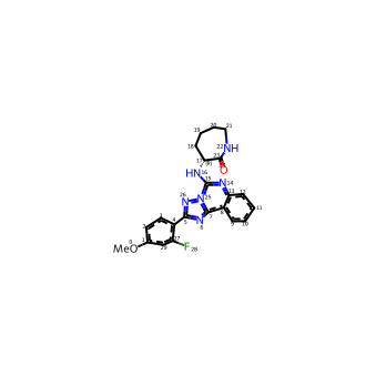 COc1ccc(-c2nc3c4ccccc4nc(N[C@@H]4CCCCNC4=O)n3n2)c(F)c1